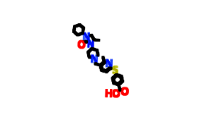 Cc1nc(Sc2ccc(C(=O)O)cc2)ccc1CN1CCC(N2C(=O)N(C3CCCCC3)CC2C)CC1